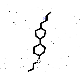 C/C=C/CC1CCC(C2CCC(OCCC)CC2)CC1